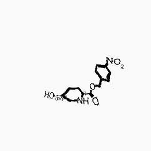 O=C(OCc1ccc([N+](=O)[O-])cc1)[C@@H]1CC[C@@H](O)CN1